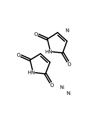 O=C1C=CC(=O)N1.O=C1C=CC(=O)N1.[N].[N].[N]